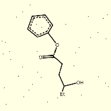 CCC(O)CCC(=O)Oc1ccccc1